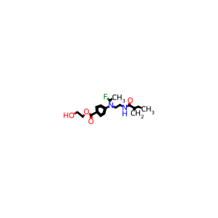 C=C(CC)C(=O)NCCN(c1ccc(C(=O)OCCO)cc1)C(C)F